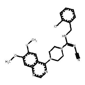 COc1cc2ncnc(N3CCN(/C(=N\C#N)NCc4ccccc4Cl)CC3)c2cc1OC